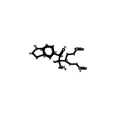 COCCC(CCOC)C(C)(N)C(=O)c1ccc2c(c1)CCS2